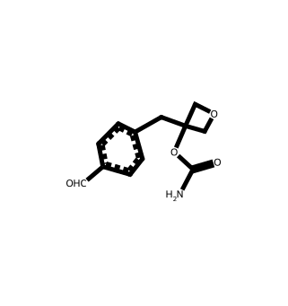 NC(=O)OC1(Cc2ccc(C=O)cc2)COC1